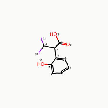 O=C(O)C(c1ccccc1O)C(I)I